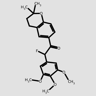 COc1cc(C(F)C(=O)c2ccc3c(c2)CCC(C)(C)O3)cc(OC)c1OC